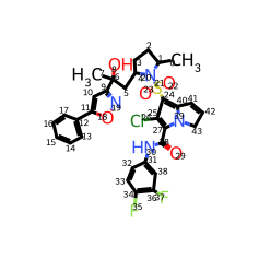 CC1CCC(CC(C)(O)c2cc(-c3ccccc3)on2)N1S(=O)(=O)c1c(Cl)c(C(=O)Nc2ccc(F)c(F)c2)n2c1C=CC2